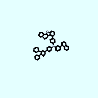 c1ccc(-c2ccc(-c3ccc(N(c4ccc(-c5cccc6oc7c8ccccc8ccc7c56)cc4)c4cccc(-c5cccc6ccccc56)c4)cc3)cc2-c2ccccc2)cc1